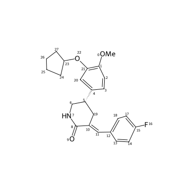 COc1ccc([C@H]2CNC(=O)/C(=C/c3ccc(F)cc3)C2)cc1OC1CCCC1